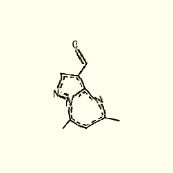 Cc1cc(C)n2ncc(C=O)c2n1